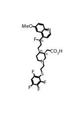 COc1ccc2nccc([C@H](F)CC[C@@H]3CCN(CCSc4c(F)cc(F)c(F)c4F)C[C@@H]3CC(=O)O)c2c1